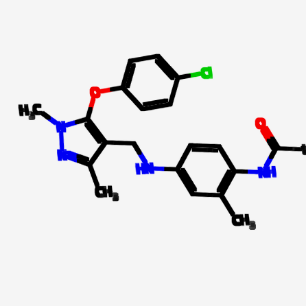 Cc1cc(NCc2c(C)nn(C)c2Oc2ccc(Cl)cc2)ccc1NC(=O)C(C)(C)C